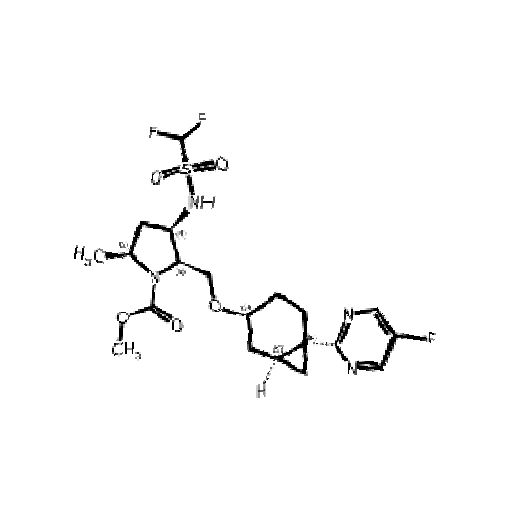 COC(=O)N1[C@H](CO[C@H]2CC[C@@]3(c4ncc(F)cn4)C[C@H]3C2)[C@H](NS(=O)(=O)C(F)F)C[C@@H]1C